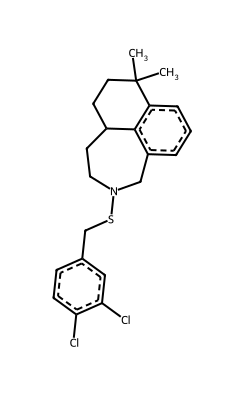 CC1(C)CCC2CCN(SCc3ccc(Cl)c(Cl)c3)Cc3cccc1c32